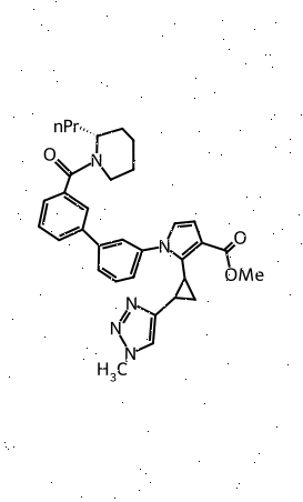 CCC[C@@H]1CCCCN1C(=O)c1cccc(-c2cccc(-n3ccc(C(=O)OC)c3C3CC3c3cn(C)nn3)c2)c1